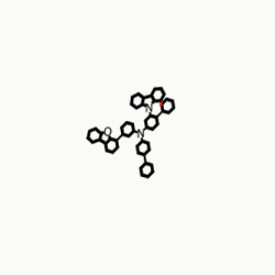 c1ccc(-c2ccc(N(c3cccc(-c4cccc5c4oc4ccccc45)c3)c3ccc(-c4ccccc4)c(-n4c5ccccc5c5ccccc54)c3)cc2)cc1